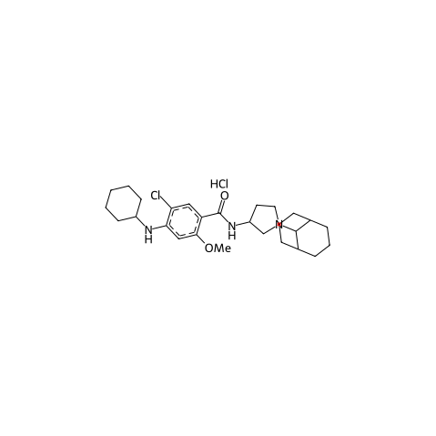 COc1cc(NC2CCCCC2)c(Cl)cc1C(=O)NC1CCN(C2C3CCCC2CCC3)C1.Cl